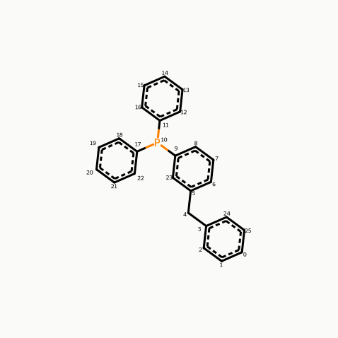 c1ccc(Cc2cccc(P(c3ccccc3)c3ccccc3)c2)cc1